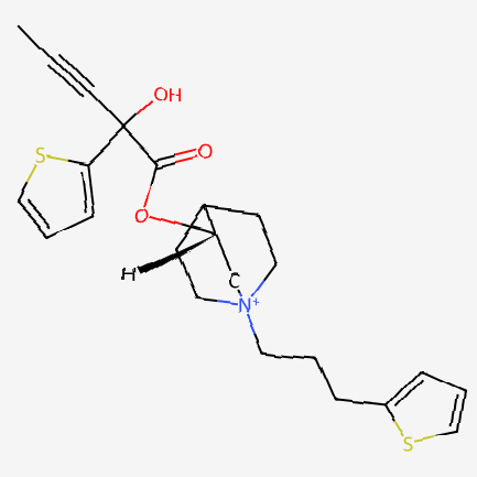 CC#CC(O)(C(=O)O[C@H]1C[N+]2(CCCc3cccs3)CCC1CC2)c1cccs1